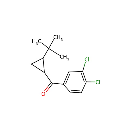 CC(C)(C)[C]1CC1C(=O)c1ccc(Cl)c(Cl)c1